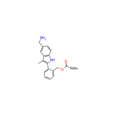 CNC(=O)OCc1ccccc1-c1[nH]c2ccc(CN)cc2c1C